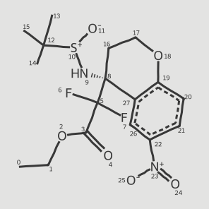 CCOC(=O)C(F)(F)[C@@]1(N[S+]([O-])C(C)(C)C)CCOc2ccc([N+](=O)[O-])cc21